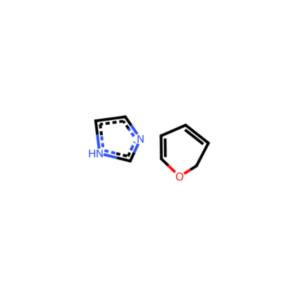 C1=CCOC=C1.c1c[nH]cn1